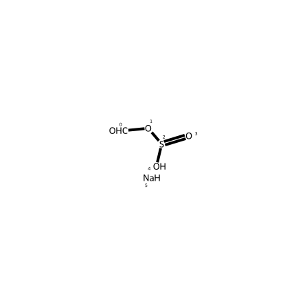 O=COS(=O)O.[NaH]